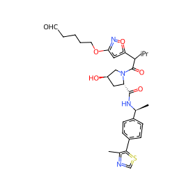 Cc1ncsc1-c1ccc([C@H](C)NC(=O)[C@@H]2C[C@@H](O)CN2C(=O)C(c2cc(OCCCCC=O)no2)C(C)C)cc1